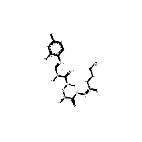 Cc1ccc(N=CN(C)C(=O)N(C)SN(C)C(=O)ON=S(C)CCCC#N)c(C)c1